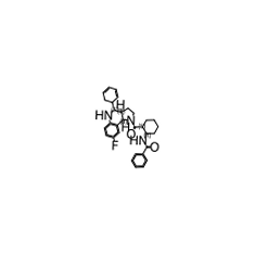 O=C(N[C@@H]1CCCC[C@@H]1C(=O)N1CC[C@@H]2[C@H](C3C=CC=CC3)Nc3ccc(F)cc3[C@@H]21)c1ccccc1